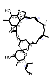 C/C1=C\C[C@@H]2C[C@@H](C[C@]3(C[C@H](O)[C@H](C)[C@@H](/C(C)=C/C(C)C)O3)O2)OC(=O)[C@@H]2CC(C)[C@@H](O)[C@H]3OC/C(=C\C=C\[C@H](C)C1)[C@]32O